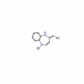 CCN1C=C/C(=C\C(C)=O)Nc2ccccc21